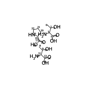 CC(O)C(N)C(=O)O.CC(O)C(N)C(=O)O.O=C(O)[C@@H]1CCCN1